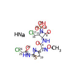 CO/N=C(\C(=O)NC1C(=O)N(S(=O)(=O)O)C1CCl)c1csc(NC(=O)CCl)n1.[NaH]